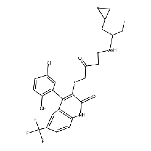 CCC(CC1CC1)[AsH]CCC(=O)CSc1c(-c2cc(Cl)ccc2O)c2cc(C(F)(F)F)ccc2[nH]c1=O